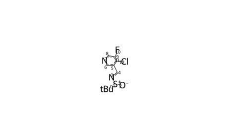 CC(C)(C)[S+]([O-])/N=C/c1cncc(F)c1Cl